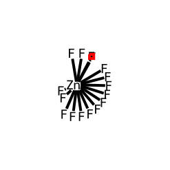 [F][Zn]([F])([F])([F])([F])([F])([F])([F])([F])([F])([F])([F])([F])([F])([F])[F]